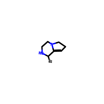 CCC1NCCN2CCC=C12